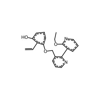 C=Cc1c(O)cccc1OCc1cccnc1-c1cccnc1OCC